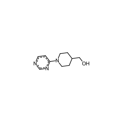 OCC1CCN(c2ccncn2)CC1